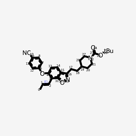 C/C=C/c1c(Oc2ccc(C#N)cc2)ccc2c(CCC3CCN(C(=O)OC(C)(C)C)CC3)noc12